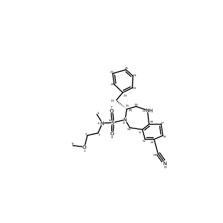 COCCN(C)S(=O)(=O)N1Cc2cc(C#N)ccc2NC[C@H]1Cc1ccccc1